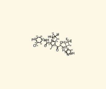 Cc1c(C(=O)C(O)NC2(c3c[nH]nn3)CC(F)(F)C2)c2n(c1C(=O)Nc1ccc(F)c(Cl)c1)[C@@H]1C[C@@H]1C2